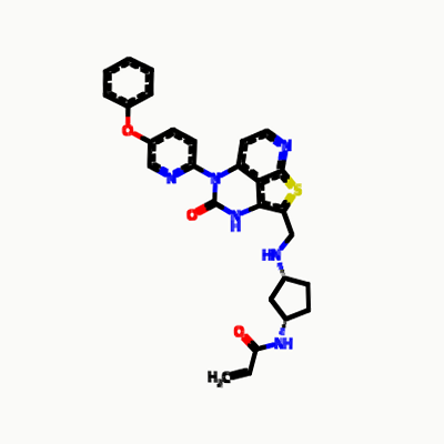 C=CC(=O)N[C@H]1CC[C@@H](NCc2sc3nccc4c3c2NC(=O)N4c2ccc(Oc3ccccc3)cn2)C1